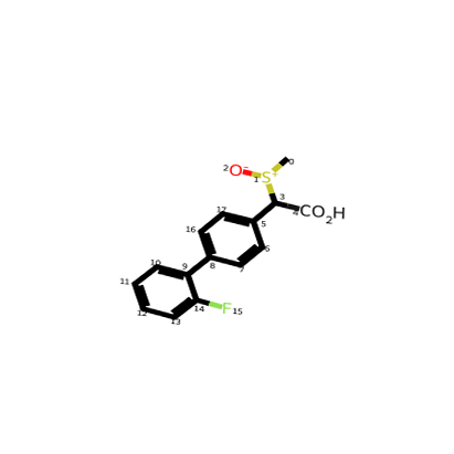 C[S+]([O-])C(C(=O)O)c1ccc(-c2ccccc2F)cc1